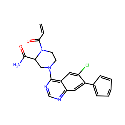 C=CC(=O)N1CCN(c2ncnc3cc(-c4ccccc4)c(Cl)cc23)CC1C(N)=O